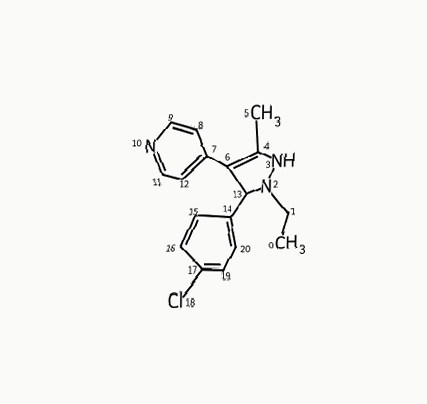 CCN1NC(C)=C(c2ccncc2)C1c1ccc(Cl)cc1